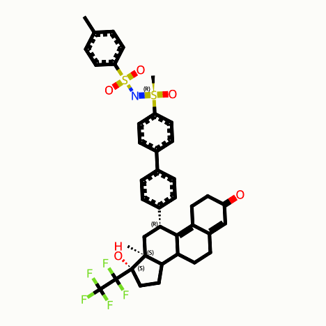 Cc1ccc(S(=O)(=O)N=[S@](C)(=O)c2ccc(-c3ccc([C@H]4C[C@@]5(C)C(CC[C@@]5(O)C(F)(F)C(F)(F)F)C5CCC6=CC(=O)CCC6=C54)cc3)cc2)cc1